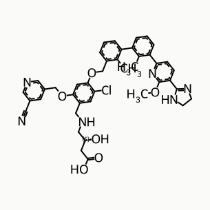 COc1nc(-c2cccc(-c3cccc(COc4cc(OCc5cncc(C#N)c5)c(CNC[C@@H](O)CC(=O)O)cc4Cl)c3C)c2C)ccc1C1=NCCN1